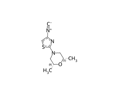 [C-]#[N+]c1csc(N2C[C@@H](C)O[C@@H](C)C2)n1